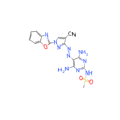 CS(=O)(=O)Nc1nc(N)c(N=Nc2nn(-c3nc4ccccc4o3)cc2C#N)c(N)n1